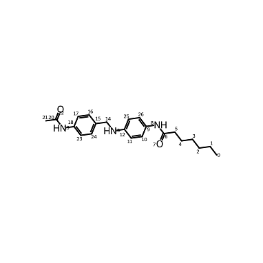 CCCCCCC(=O)Nc1ccc(NCc2ccc(NC(C)=O)cc2)cc1